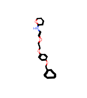 c1ccc(COc2ccc(OCCOCCNC3CCCCO3)cc2)cc1